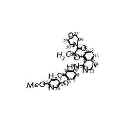 COc1ccc(Oc2ccc(Nc3ncnc4cccc(O[C@H](C)C(=O)N5CCOCC5)c34)cc2C)cn1